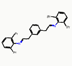 CC(C)c1cccc(C(C)C)c1N=CCc1cccc(CC=Nc2c(C(C)C)cccc2C(C)C)c1